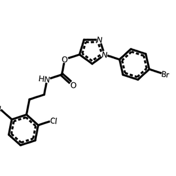 O=C(NCCc1c(Cl)cccc1Cl)Oc1cnn(-c2ccc(Br)cc2)c1